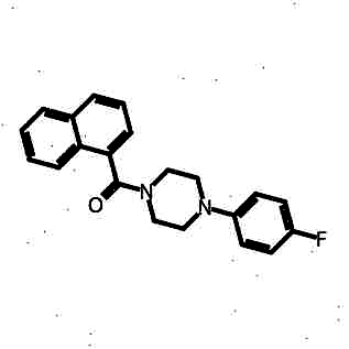 O=C(c1cccc2ccccc12)N1CCN(c2ccc(F)cc2)CC1